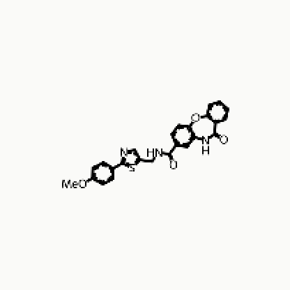 COc1ccc(-c2ncc(CNC(=O)c3ccc4c(c3)NC(=O)c3ccccc3O4)s2)cc1